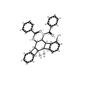 O=C(OC1C(OC(=O)c2ccccc2)C2c3ccccc3[C@@H]2[C@@H]2c3cccc(I)c3C12)c1ccccc1